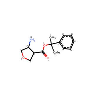 COC(OC)(OC(=O)C1COCC1N)c1ccccc1